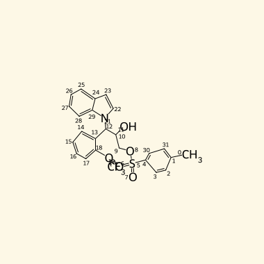 Cc1ccc(S(=O)(=O)OCC(O)C(c2ccccc2OC(F)(F)F)n2ccc3ccccc32)cc1